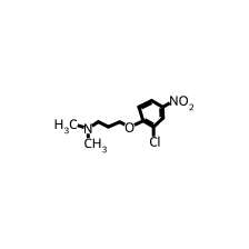 CN(C)CCCOc1ccc([N+](=O)[O-])cc1Cl